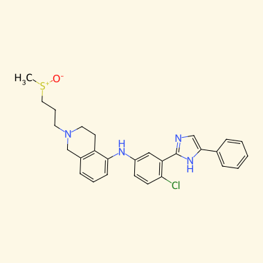 C[S+]([O-])CCCN1CCc2c(cccc2Nc2ccc(Cl)c(-c3ncc(-c4ccccc4)[nH]3)c2)C1